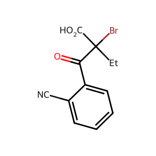 CCC(Br)(C(=O)O)C(=O)c1ccccc1C#N